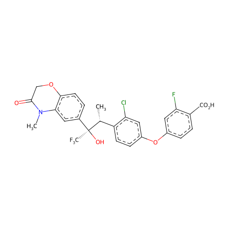 C[C@H](c1ccc(Oc2ccc(C(=O)O)c(F)c2)cc1Cl)[C@@](O)(c1ccc2c(c1)N(C)C(=O)CO2)C(F)(F)F